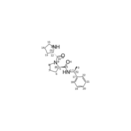 C[C@H](NC(=O)[C@H]1CCCN1C(=O)[C@@H]1CCCN1)c1ccccc1